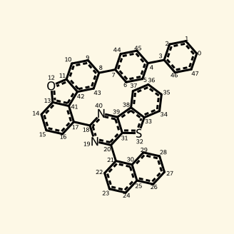 c1ccc(-c2ccc(-c3ccc4oc5cccc(-c6nc(-c7cccc8ccccc78)c7sc8ccccc8c7n6)c5c4c3)cc2)cc1